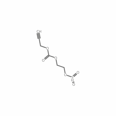 C#CCOC(=O)OCCO[SH](=O)=O